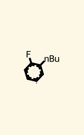 CCCCc1c[c]ccc1F